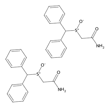 NC(=O)C[S+]([O-])C(c1ccccc1)c1ccccc1.NC(=O)C[S+]([O-])C(c1ccccc1)c1ccccc1